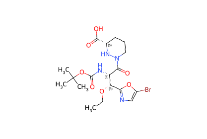 CCO[C@@H](c1ncc(Br)o1)[C@H](NC(=O)OC(C)(C)C)C(=O)N1CCC[C@@H](C(=O)O)N1